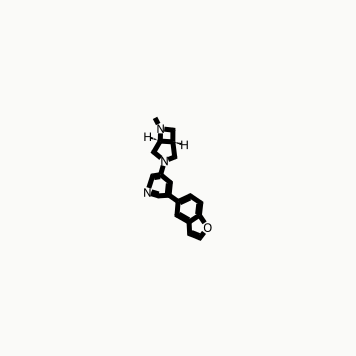 CN1C[C@H]2CN(c3cncc(-c4ccc5occc5c4)c3)C[C@H]21